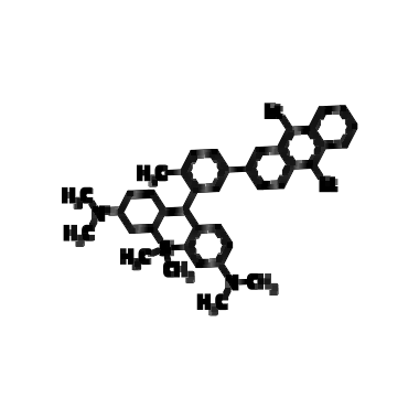 CCc1c2ccccc2c(CC)c2cc(-c3ccc(C)c(C4=C5C=CC(=[N+](C)C)C=C5[Si](C)(C)c5cc(N(C)C)ccc54)c3)ccc12